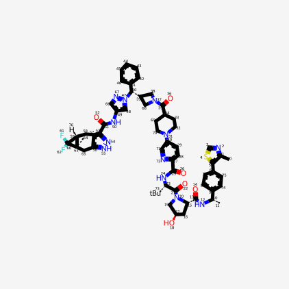 Cc1ncsc1-c1ccc([C@H](C)NC(=O)[C@@H]2C[C@@H](O)CN2C(=O)[C@@H](NC(=O)c2ccc(N3CCC(C(=O)N4CC([C@@H](c5ccccc5)n5cc(NC(=O)c6n[nH]c7c6C[C@@H]6C(F)(F)[C@]6(C)C7)cn5)C4)CC3)cn2)C(C)(C)C)cc1